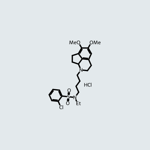 CCN(CCCCN1CCc2cc(OC)c(OC)c3c2C1CC3)S(=O)(=O)c1ccccc1Cl.Cl